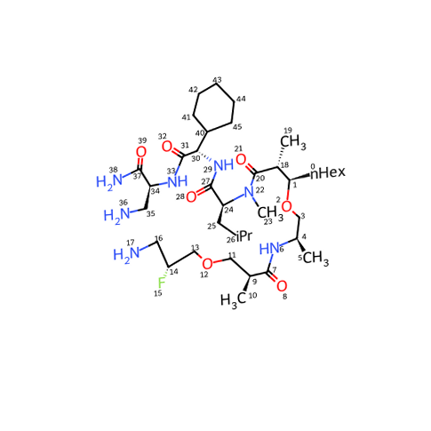 CCCCCC[C@@H](OC[C@@H](C)NC(=O)[C@@H](C)COC[C@H](F)CN)[C@@H](C)C(=O)N(C)[C@@H](CC(C)C)C(=O)N[C@H](C(=O)N[C@@H](CN)C(N)=O)C1CCCCC1